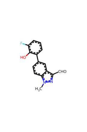 Cn1nc(C=O)c2cc(-c3cccc(F)c3O)ccc21